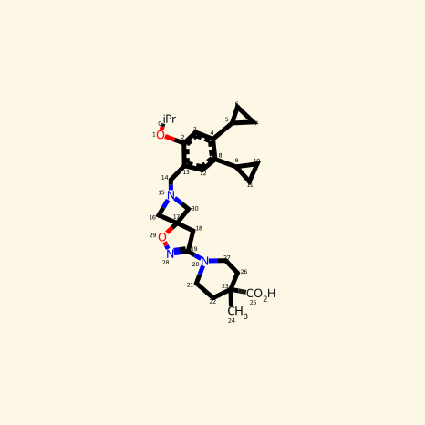 CC(C)Oc1cc(C2CC2)c(C2CC2)cc1CN1CC2(CC(N3CCC(C)(C(=O)O)CC3)=NO2)C1